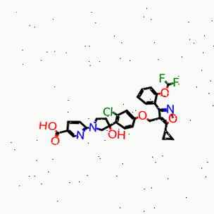 O=C(O)c1ccc(N2CCC(O)(c3ccc(OCc4c(-c5ccccc5OC(F)F)noc4C4CC4)cc3Cl)C2)nc1